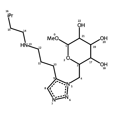 COC1OC(Cn2nncc2CCCNCCC(C)C)C(O)C(O)C1O